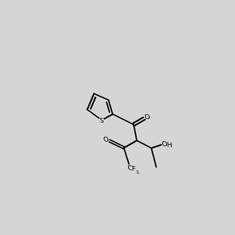 CC(O)C(C(=O)c1cccs1)C(=O)C(F)(F)F